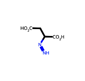 N=NC(CC(=O)O)C(=O)O